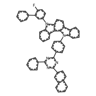 Fc1ccc(-n2c3ccccc3c3c2ccc2c4ccccc4n(-c4ccc(-c5nc(-c6ccccc6)nc(-c6ccc7ccccc7c6)n5)cc4)c23)cc1-c1ccccc1